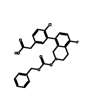 O=C(O)Cc1ccc(Cl)c(-c2ccc(F)c3c2CN(OC(=O)OCc2ccccc2)CC3)c1